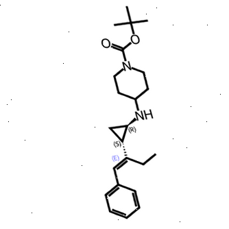 CC/C(=C\c1ccccc1)[C@@H]1C[C@H]1NC1CCN(C(=O)OC(C)(C)C)CC1